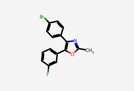 Cc1nc(-c2ccc(Br)cc2)c(-c2cccc(F)c2)o1